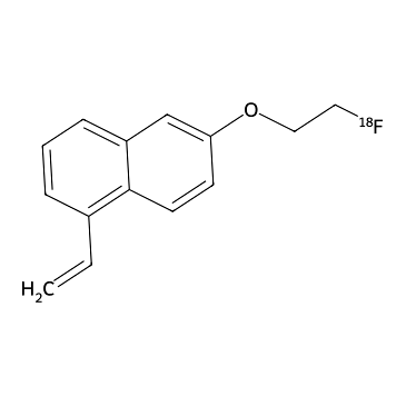 C=Cc1cccc2cc(OCC[18F])ccc12